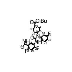 CC(C)COC(=O)N1CCC(N(C(=O)Nc2cc(C(N)=O)c(F)cc2F)c2cccc(F)c2)CC1